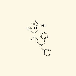 CC1(C)CC(C(=O)CCN(Cc2ccccc2)Cc2ccccc2)CN1C(=O)O